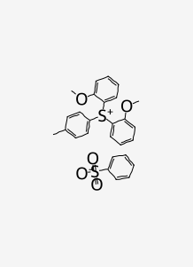 COc1ccccc1[S+](c1ccc(C)cc1)c1ccccc1OC.O=S(=O)([O-])c1ccccc1